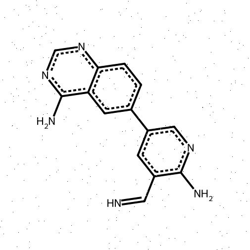 N=Cc1cc(-c2ccc3ncnc(N)c3c2)cnc1N